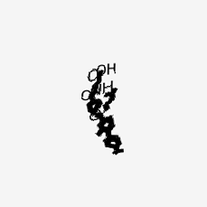 Cc1cc([C@@H](CCCC(C)C)Oc2ccc(C(=O)NCCC(=O)O)cc2)ccc1-c1ccc(C(C)C)cc1